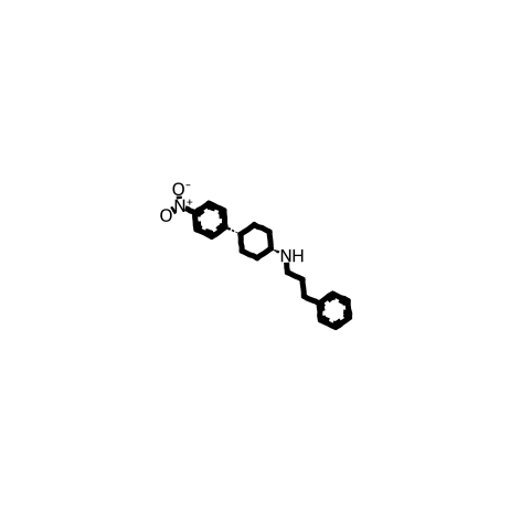 O=[N+]([O-])c1ccc([C@H]2CC[C@@H](NCCCc3ccccc3)CC2)cc1